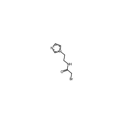 O=C(CBr)NCCn1ccnc1